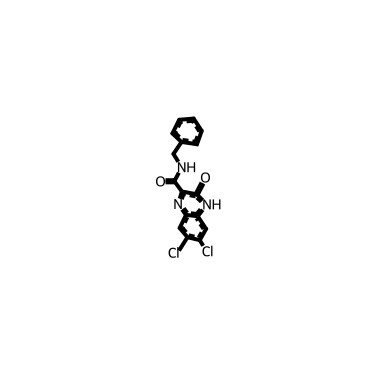 O=C(NCc1ccccc1)c1nc2cc(Cl)c(Cl)cc2[nH]c1=O